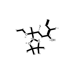 C=C/C(F)=C(/O)C[C@@H](C)C(C)(OCC)B1OC(C)(C)C(C)(C)O1